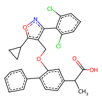 CC(C(=O)O)c1ccc(-c2ccccc2)c(OCc2c(-c3c(Cl)cccc3Cl)noc2C2CC2)c1